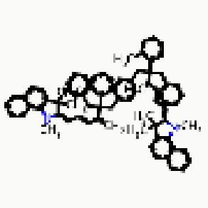 C=C(/C=C/C=C1/N(C)c2c(ccc3ccccc23)C1(C)C)C(Cc1ccccc1)(Cc1ccc(CC(Cc2ccccc2)(C(=C)/C=C/C=C2/N(C)c3c(ccc4ccccc34)C2(C)C)c2ccccc2C)cc1)c1ccccc1C